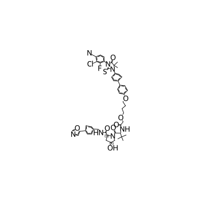 CC(C)(C)C(NC(=O)COCCCCOc1ccc(-c2ccc(N3C(=S)N(c4ccc(C#N)c(Cl)c4F)C(=O)C3(C)C)cc2)cc1)C(=O)N1C[C@H](O)C[C@H]1C(=O)NCc1ccc(-c2cnco2)cc1